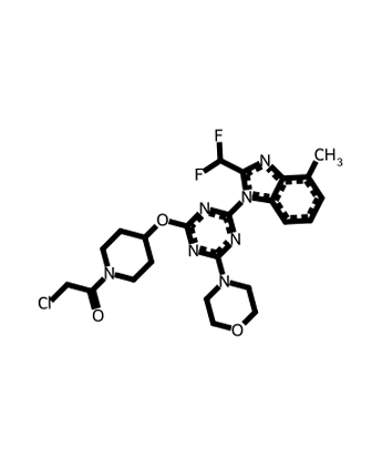 Cc1cccc2c1nc(C(F)F)n2-c1nc(OC2CCN(C(=O)CCl)CC2)nc(N2CCOCC2)n1